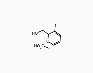 CC(=O)O.CC1=CC=COC1CO